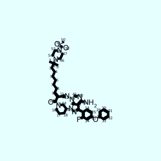 CC(C)(CCCCCC/C=C(\C#N)C(=O)N1CCC[C@@H](n2nc(-c3ccc(Oc4ccccc4)cc3F)c3c(N)ncnc32)C1)N1CCN(S(C)(=O)=O)CC1